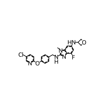 Cn1c(NCc2ccc(Oc3ccc(Cl)cn3)cc2)nc2c(F)cc(NC3COC3)cc21